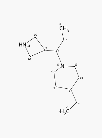 [CH2]CC1CCN(C(CC)C2CNC2)CC1